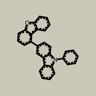 [c]1cc(-c2cccc3oc4ccccc4c23)cc2c3ccccc3n(-c3ccccc3)c12